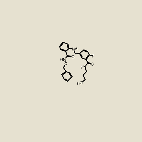 O=C(NCCCO)c1cc(CNc2ccccc2C(=O)NOCc2ccccc2)ccc1F